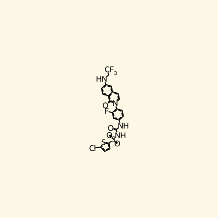 O=C(Nc1ccc(-n2ccc3cc(NCC(F)(F)F)ccc3c2=O)c(F)c1)NS(=O)(=O)c1ccc(Cl)s1